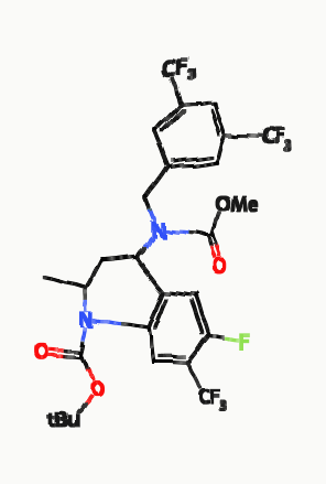 COC(=O)N(Cc1cc(C(F)(F)F)cc(C(F)(F)F)c1)C1CC(C)N(C(=O)OC(C)(C)C)c2cc(C(F)(F)F)c(F)cc21